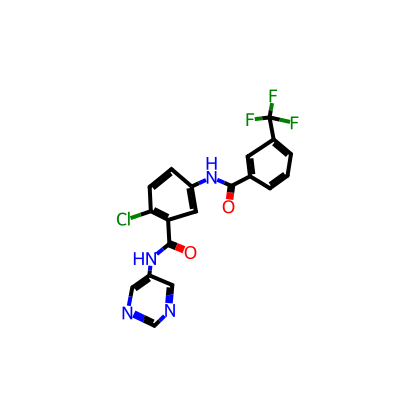 O=C(Nc1ccc(Cl)c(C(=O)Nc2cncnc2)c1)c1cccc(C(F)(F)F)c1